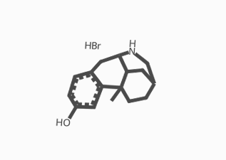 Br.CC12CCC3CNC(Cc4ccc(O)cc41)C2C3